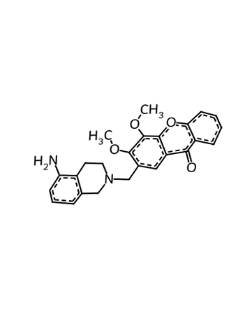 COc1c(CN2CCc3c(N)cccc3C2)cc2c(=O)c3ccccc3oc2c1OC